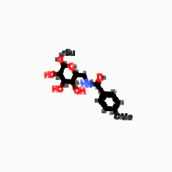 CCCCOC1OC(CNC(=O)c2ccc(OC)cc2)C(O)C(O)C1O